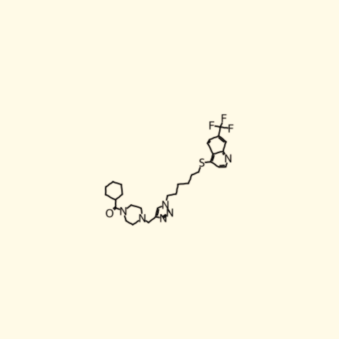 O=C(C1CCCCC1)N1CCN(Cc2cn(CCCCCCSc3ccnc4cc(C(F)(F)F)ccc34)nn2)CC1